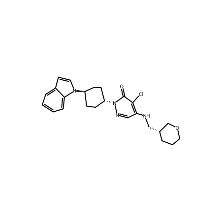 O=c1c(Cl)c(NC[C@H]2CCCOC2)cnn1[C@H]1CC[C@H](n2ccc3ccccc32)CC1